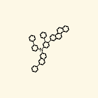 c1ccc(-c2cccc(N(c3ccc(-c4ccc5c(ccc6c7ccccc7ccc56)c4)c(-c4ccccc4)c3)c3ccc4ccc(-c5ccccc5)cc4c3)c2)cc1